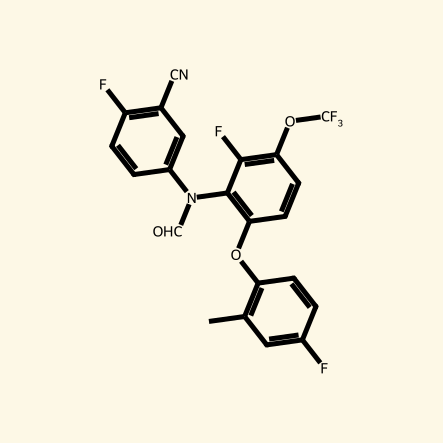 Cc1cc(F)ccc1Oc1ccc(OC(F)(F)F)c(F)c1N(C=O)c1ccc(F)c(C#N)c1